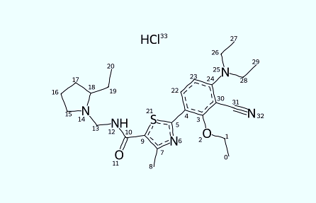 CCOc1c(-c2nc(C)c(C(=O)NCN3CCCC3CC)s2)ccc(N(CC)CC)c1C#N.Cl